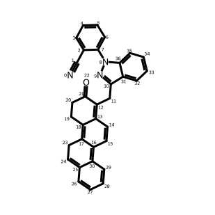 N#Cc1ccccc1-n1nc(CC2=c3ccc4c(c3CCC2=O)CC=c2ccccc2=4)c2ccccc21